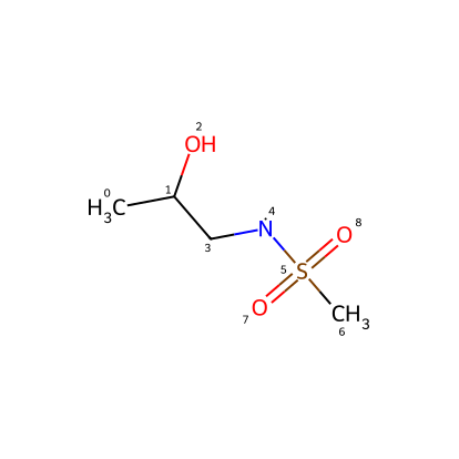 CC(O)C[N]S(C)(=O)=O